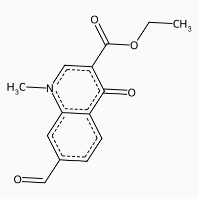 CCOC(=O)c1cn(C)c2cc(C=O)ccc2c1=O